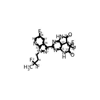 CC(F)(F)CCn1nc(-c2nc3c4c(n2)NC(=O)C4(C)C(F)(F)C(=O)N3)c2cc(F)cnc21